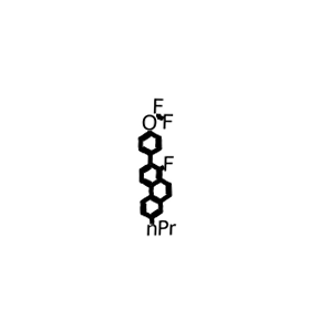 CCCc1ccc2c(ccc3c(F)c(-c4ccc(OC(F)F)cc4)ccc32)c1